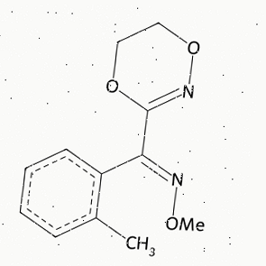 CON=C(C1=NOCCO1)c1ccccc1C